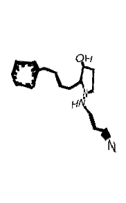 N#CCCNN1CCC(O)C1CCc1ccccc1